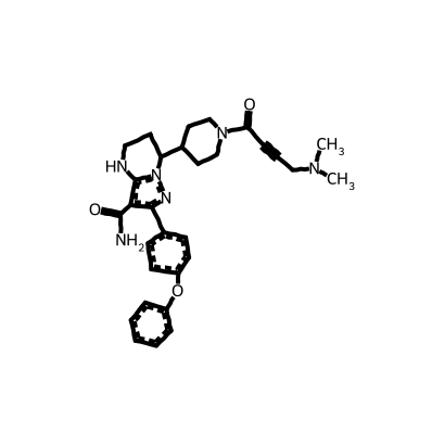 CN(C)CC#CC(=O)N1CCC(C2CCNc3c(C(N)=O)c(-c4ccc(Oc5ccccc5)cc4)nn32)CC1